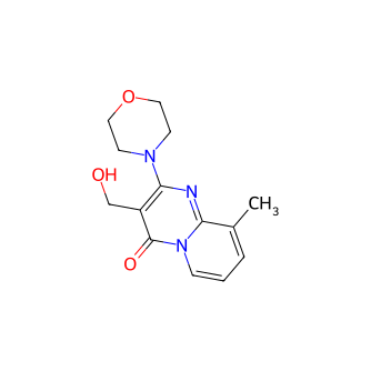 Cc1cccn2c(=O)c(CO)c(N3CCOCC3)nc12